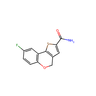 NC(=O)c1cc2c(s1)-c1cc(F)ccc1OC2